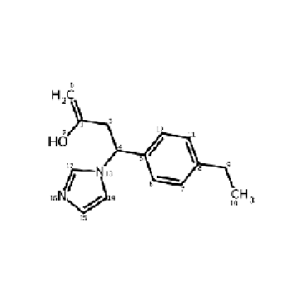 C=C(O)CC(c1ccc(CC)cc1)n1ccnc1